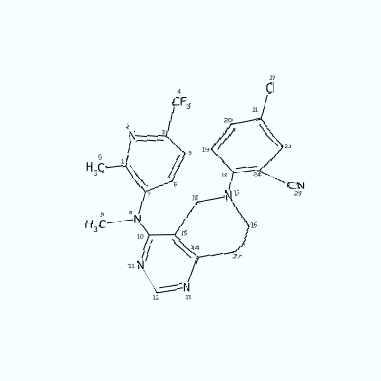 Cc1nc(C(F)(F)F)ccc1N(C)c1ncnc2c1CN(c1ccc(Cl)cc1C#N)CC2